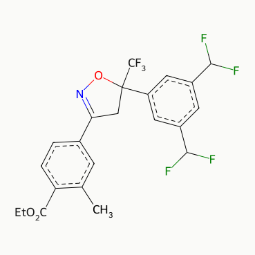 CCOC(=O)c1ccc(C2=NOC(c3cc(C(F)F)cc(C(F)F)c3)(C(F)(F)F)C2)cc1C